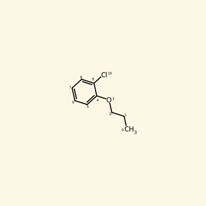 CC[CH]Oc1ccccc1Cl